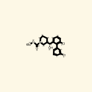 CCc1cccc(-c2c(Cl)cccc2[C@H](O)C2CCCN(C(=O)OC(C)(C)C)C2)c1